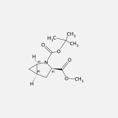 COC(=O)[C@H]1C[C@H]2C[C@H]2N1C(=O)OC(C)(C)C